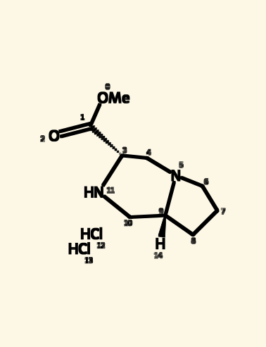 COC(=O)[C@@H]1CN2CCC[C@@H]2CN1.Cl.Cl